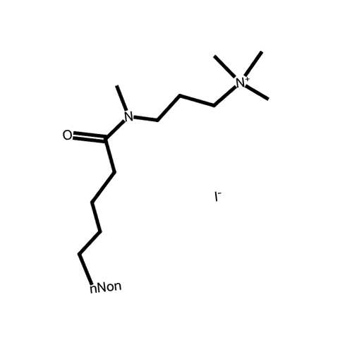 CCCCCCCCCCCCCC(=O)N(C)CCC[N+](C)(C)C.[I-]